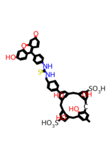 Cc1cc2c(O)c(c1)Cc1cc(S(=O)(=O)O)cc(c1O)Cc1cc(-c3ccc(CNC(=S)Nc4ccc(-c5c6ccc(=O)cc-6oc6cc(O)ccc56)cc4)cc3)cc(c1O)Cc1cc(S(=O)(=O)O)cc(c1O)C2